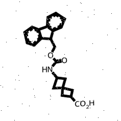 O=C(NC1CC2(C1)CC(C(=O)O)C2)OCC1c2ccccc2-c2ccccc21